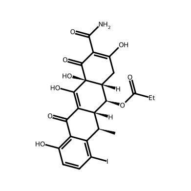 CCC(=O)O[C@H]1[C@H]2C(=C(O)[C@]3(O)C(=O)C(C(N)=O)=C(O)C[C@H]13)C(=O)c1c(O)ccc(I)c1[C@@H]2C